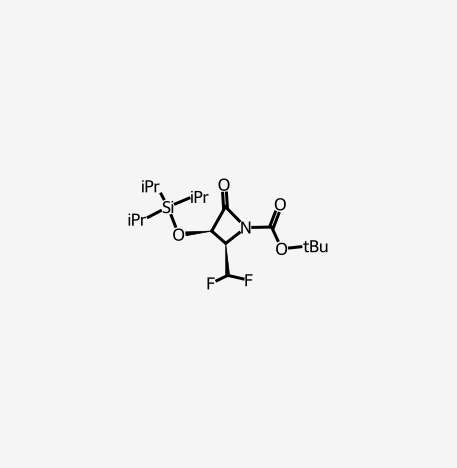 CC(C)[Si](O[C@H]1C(=O)N(C(=O)OC(C)(C)C)[C@H]1C(F)F)(C(C)C)C(C)C